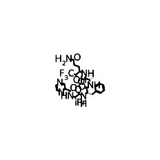 CC(C)[C@H](NC(=O)c1cnccn1)C(=O)N[C@@H](Cc1ccccc1)C(=O)N[C@@H](C)C(=O)NC(CCC(N)=O)C(O)C(F)(F)F